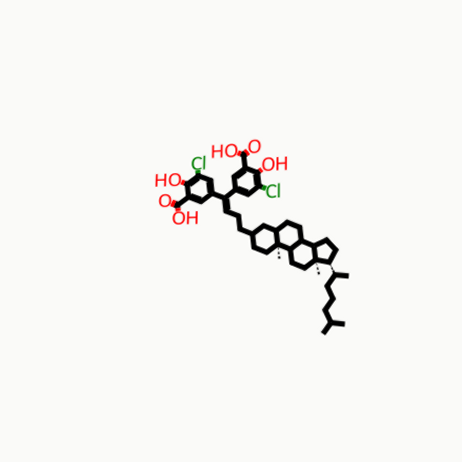 CC(C)CCCC(C)[C@H]1CCC2C3CCC4CC(CCC=C(c5cc(Cl)c(O)c(C(=O)O)c5)c5cc(Cl)c(O)c(C(=O)O)c5)CC[C@]4(C)C3CC[C@@]21C